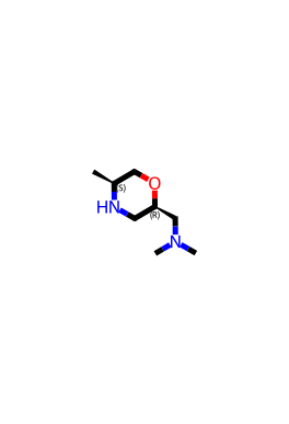 C[C@H]1CO[C@@H](CN(C)C)CN1